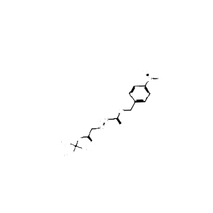 CC(C)(C)OC(=O)CNNC(=O)OCc1ccc([N+](=O)[O-])cc1